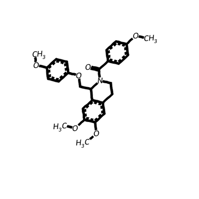 COc1ccc(OCC2c3cc(OC)c(OC)cc3CCN2C(=O)c2ccc(OC)cc2)cc1